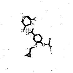 O[C@@H](C[C@H]1C(Cl)=CN=CC1Cl)C1=CC(OCC2CC2)=C(OC(F)F)CC1